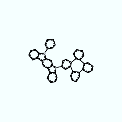 c1ccc(-n2c3ccccc3c3cc4c5ccccc5n(-c5ccc6c(c5)-c5ccccc5-c5ccccc5-c5ccccc5-6)c4cc32)cc1